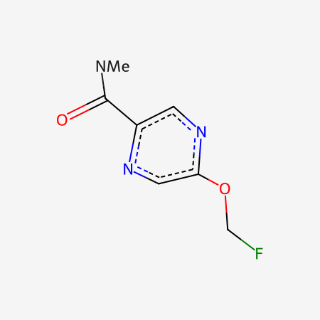 CNC(=O)c1cnc(OCF)cn1